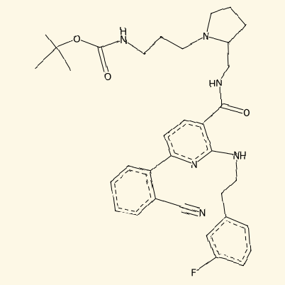 CC(C)(C)OC(=O)NCCCN1CCCC1CNC(=O)c1ccc(-c2ccccc2C#N)nc1NCCc1cccc(F)c1